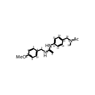 C=C(NCc1ccc(OC)cc1)Nc1ccc(CN(C)C(C)=O)cc1